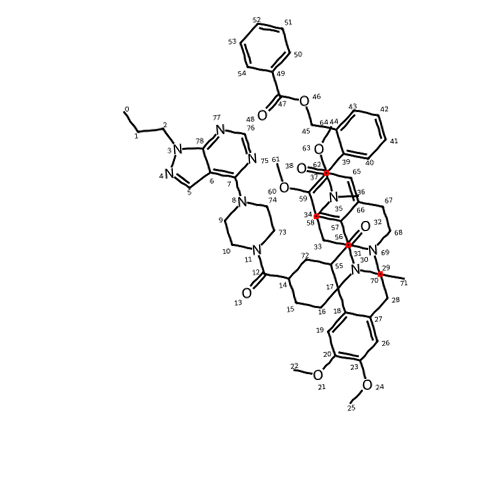 CCCn1ncc2c(N3CCN(C(=O)C4CCC5(c6cc(OC)c(OC)cc6CCN5C(=O)CCN(C)C(=O)c5ccccc5COC(=O)c5ccccc5)C(C5c6cc(OC)c(OC)cc6CCN5CC)C4)CC3)ncnc21